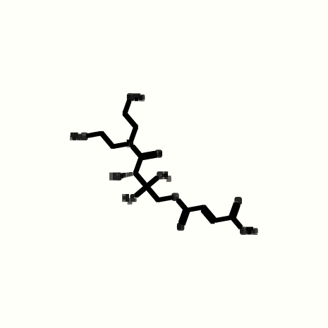 COCCN(CCOC)C(=O)[C@@H](O)C(C)(C)COC(=O)/C=C/C(=O)OC